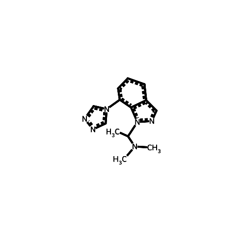 CC(N(C)C)n1ncc2cccc(-n3cnnc3)c21